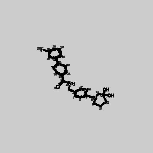 O=C(NCc1ccc(N2CCSC(O)(O)C2)nc1)c1ccc(-c2cccc(F)c2)nc1